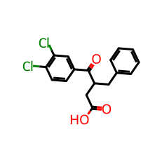 O=C(O)CC(Cc1ccccc1)C(=O)c1ccc(Cl)c(Cl)c1